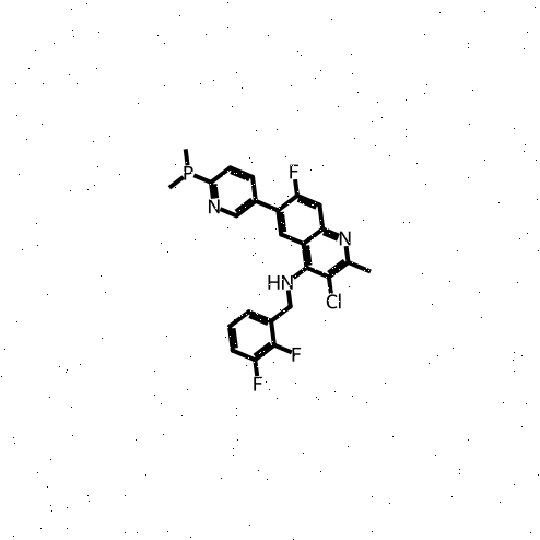 Cc1nc2cc(F)c(-c3ccc(P(C)C)nc3)cc2c(NCc2cccc(F)c2F)c1Cl